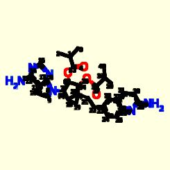 CC(C)C(=O)O[C@H]1[C@H](n2ccc3c(N)ncnc32)C2C[C@@]2(CCc2ccc3nc(N)ccc3c2)[C@H]1OC(=O)C(C)C